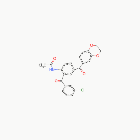 O=C(c1ccc2c(c1)OCCO2)c1ccc(NC(=O)C(Cl)(Cl)Cl)c(C(=O)c2cccc(Cl)c2)c1